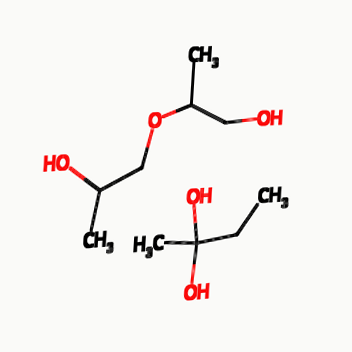 CC(O)COC(C)CO.CCC(C)(O)O